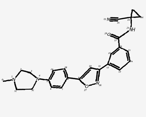 CN1CCN(c2ccc(-c3cc(-c4cccc(C(=O)NC5(C#N)CC5)c4)no3)cc2)CC1